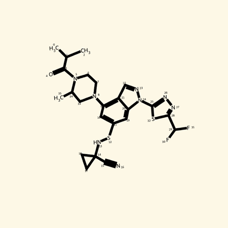 CC(C)C(=O)N1CCN(c2cc(SNC3(C#N)CC3)cc3c2cnn3-c2nnc(C(F)F)s2)CC1C